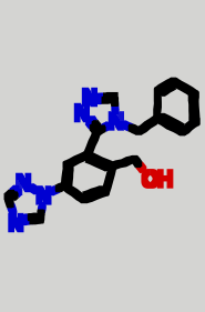 OCc1ccc(-n2cncn2)cc1-c1nncn1Cc1ccccc1